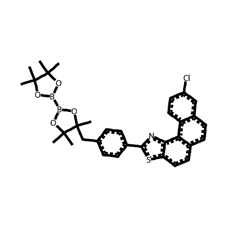 CC1(C)OB(B2OC(C)(C)C(C)(Cc3ccc(-c4nc5c(ccc6ccc7cc(Cl)ccc7c65)s4)cc3)O2)OC1(C)C